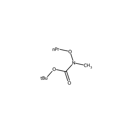 CCCON(C)C(=O)OC(C)(C)C